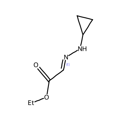 CCOC(=O)/C=N/NC1CC1